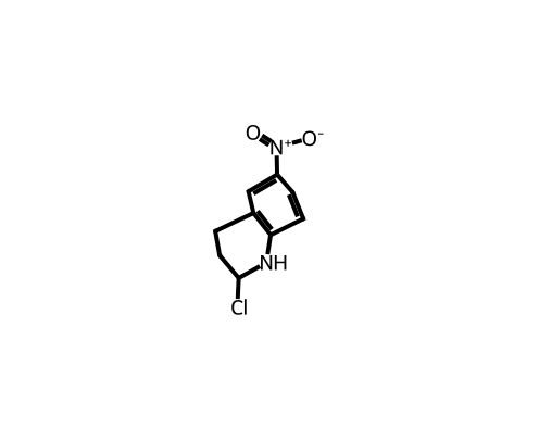 O=[N+]([O-])c1ccc2c(c1)CCC(Cl)N2